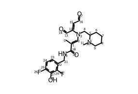 C/C(=C\N(CC1CCCCN1C)/C(C=O)=C\C=O)C(=O)NCc1ccc(F)c(O)c1F